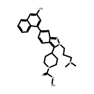 CN(C)CCCn1nc2cc(-c3cc(O)cc4ccccc34)ccc2c1C1CCN(C(=O)OC(C)(C)C)CC1